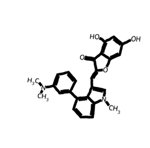 CN(C)c1cccc(-c2cccc3c2c(C=C2Oc4cc(O)cc(O)c4C2=O)cn3C)c1